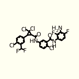 Nc1c(F)ccc(NC(=O)c2cc(NC(=O)C3C(c4ccc(Cl)c(C(F)F)c4)C3(Cl)Cl)ccc2Cl)c1F